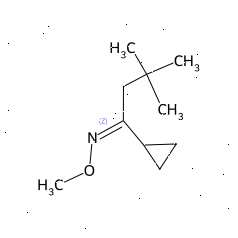 CO/N=C(/CC(C)(C)C)C1CC1